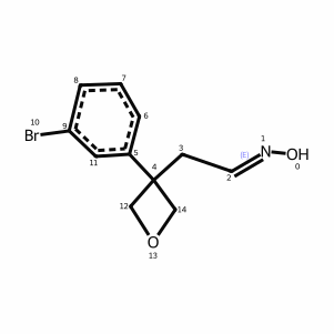 O/N=C/CC1(c2cccc(Br)c2)COC1